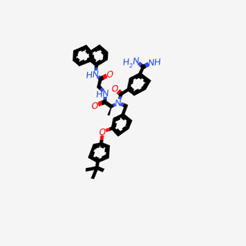 C[C@@H](C(=O)NCC(=O)Nc1cccc2ccccc12)N(Cc1cccc(Oc2ccc(C(C)(C)C)cc2)c1)C(=O)c1cccc(C(=N)N)c1